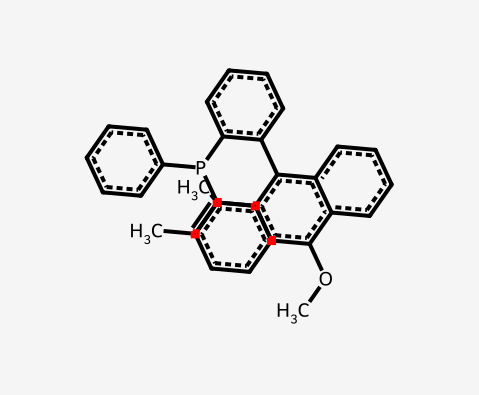 C/C=C(\C)c1cc(OC)c2ccccc2c1-c1ccccc1P(c1ccccc1)c1ccccc1